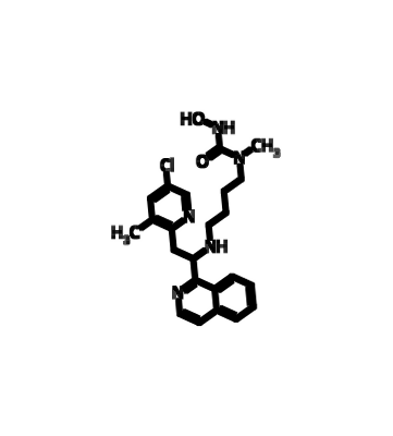 Cc1cc(Cl)cnc1CC(NCCCCN(C)C(=O)NO)c1nccc2ccccc12